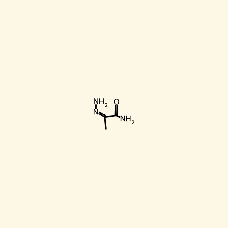 C/C(=N/N)C(N)=O